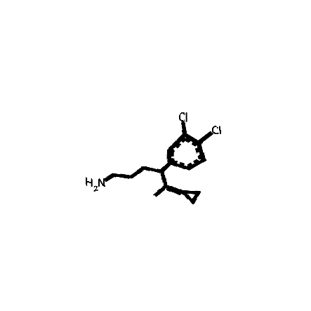 CC(=C1CC1)C(CCCN)c1ccc(Cl)c(Cl)c1